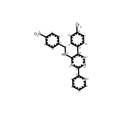 O=[N+]([O-])c1ccc(CNc2nc(-c3ccccn3)nnc2-c2ccc(C(F)(F)F)cc2)cc1